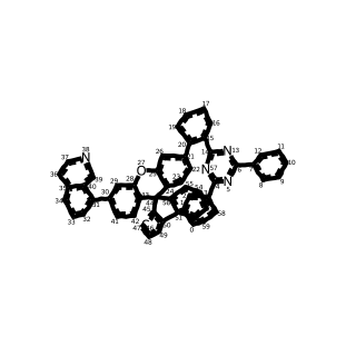 c1ccc(-c2nc(-c3ccccc3)nc(-c3ccccc3-c3ccc4c(c3)Oc3cc(-c5cccc6ccncc56)ccc3C43c4ccccc4-c4ccccc43)n2)cc1